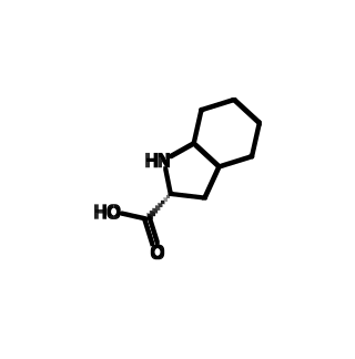 O=C(O)[C@H]1CC2CCCCC2N1